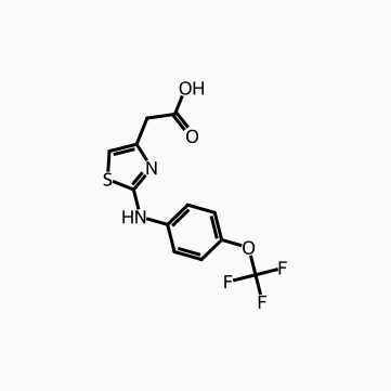 O=C(O)Cc1csc(Nc2ccc(OC(F)(F)F)cc2)n1